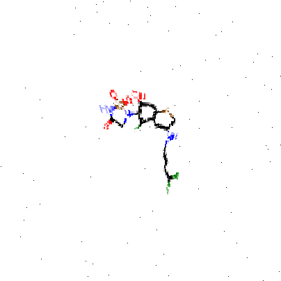 O=C1CN(c2c(O)cc3c(c2F)C[C@H](NCCCC(F)F)CS3)S(=O)(=O)N1